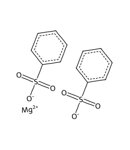 O=S(=O)([O-])c1ccccc1.O=S(=O)([O-])c1ccccc1.[Mg+2]